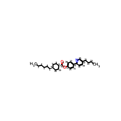 CCCCCC[C@H]1CC[C@H](C(=O)Oc2ccc(-c3ccc(CCCC)cn3)cc2)CC1